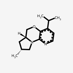 CC(C)c1ccnc2c1OC[C@H]1C[C@@H](C)CN21